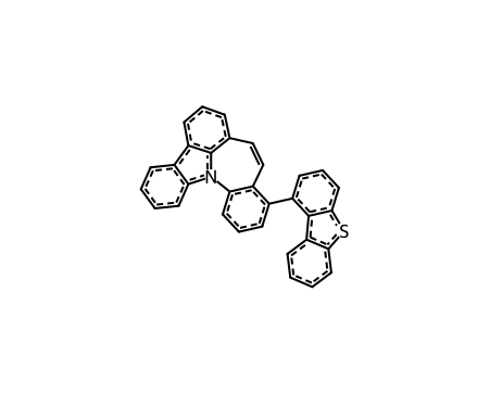 C1=Cc2cccc3c4ccccc4n(c23)-c2cccc(-c3cccc4sc5ccccc5c34)c21